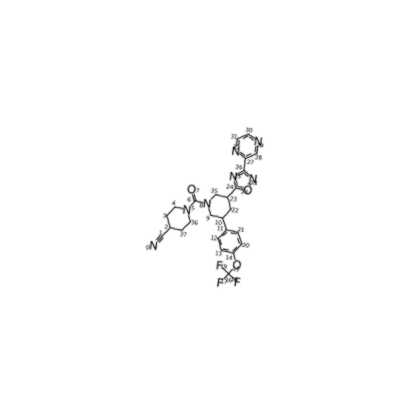 N#CC1CCN(C(=O)N2CC(c3ccc(OC(F)(F)F)cc3)CC(c3nc(-c4cnccn4)no3)C2)CC1